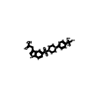 O=C(O)Cc1csc2ccc(S(=O)(=O)N3CCN(c4ccc(C(F)(F)F)cn4)CC3)cc12